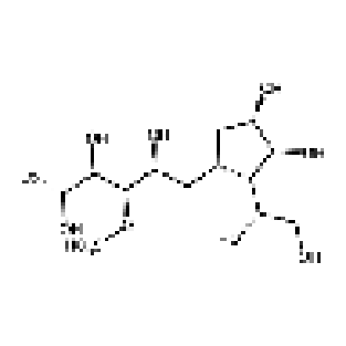 CC[C@@H](O)[C@@H](O)[C@H](OS(=O)(=O)O)[C@@H](O)CC1C[C@@H](O)[C@@H](O)[C@@H]1[C@@H](O)CO